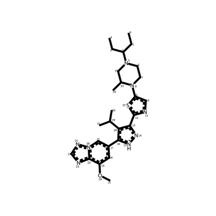 CCC(CC)N1CCN(c2cnc(-c3n[nH]c(-c4cc(OC)c5ncnn5c4)c3C(C)C)s2)C(C)C1